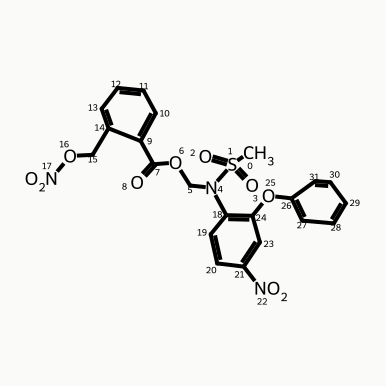 CS(=O)(=O)N(COC(=O)c1ccccc1CO[N+](=O)[O-])c1ccc([N+](=O)[O-])cc1Oc1ccccc1